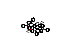 CC(C)c1c(-c2cccc(C#N)c2)c(C2Cc3ccccc3-c3ccc4c(c3C2)c2ccccc2n4-c2ccccc2)c(-c2cccc(C#N)c2)c(C(C)C)c1-n1c2ccccc2c2ccc3c(c4ccccc4n3-c3ccccc3)c21